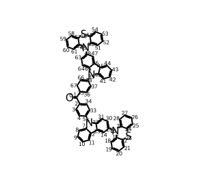 O=C(c1ccc(-n2c3ccccc3c3cc(N4c5ccccc5Sc5ccccc54)ccc32)cc1)C1C=CC(n2c3ccccc3c3cc(N4c5ccccc5Sc5ccccc54)ccc32)=CC1